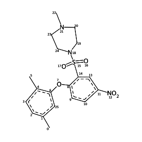 Cc1ccc(C)c(Oc2ccc([N+](=O)[O-])cc2S(=O)(=O)N2CCN(C)CC2)c1